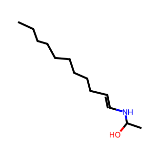 CCCCCCCCCC=CNC(C)O